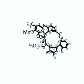 COc1c(C(F)(F)F)ccn([C@@H]2C(=O)N[C@H](CC(=O)O)c3cc(cc(C)c3F)-c3c(C)cccc3OCc3ccc(F)c2c3)c1=O